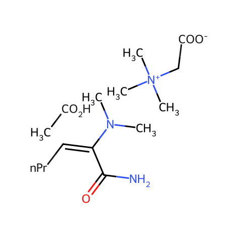 CC(=O)O.CCC/C=C(\C(N)=O)N(C)C.C[N+](C)(C)CC(=O)[O-]